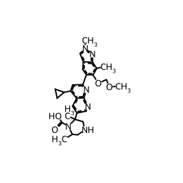 COCOc1c(-c2cc(C3CC3)c3cc(C4(C)CNCC(C)N4C(=O)O)cnc3n2)cc2cn(C)nc2c1C